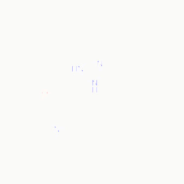 c1ccc(-c2cccc3c2c2ccccc2n3-c2cccc3oc4cc(C5NC(c6ccc7ccccc7c6)=NC(c6ccc7ccccc7c6)N5)ccc4c23)cc1